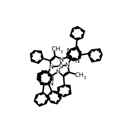 CC1=C(c2ccccc2)N(c2cccc(-c3ccccc3)n2)[Si]2(N1c1cccc(-c3ccccc3)n1)N(c1cccc(-c3ccccc3)n1)C(C)=C(c1ccccc1)N2c1cccc(-c2ccccc2)n1